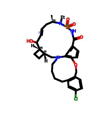 CCN1[C@@H](C)C/C=C/C(O)[C@@H]2CC[C@H]2CN2CCCCc3cc(Cl)ccc3COc3ccc(cc32)C(=O)NS1(=O)=O